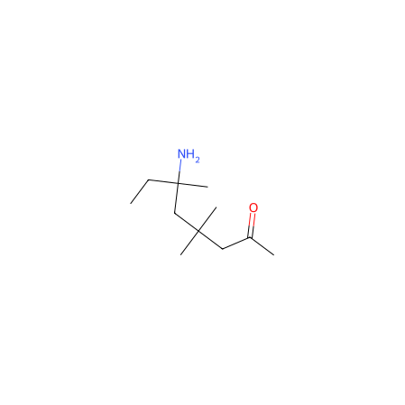 CCC(C)(N)CC(C)(C)CC(C)=O